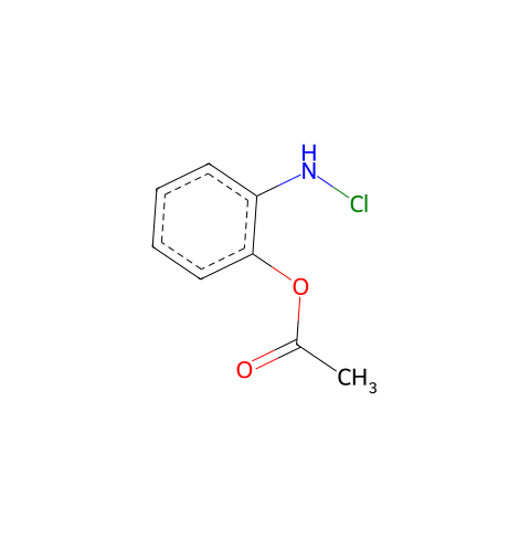 CC(=O)Oc1ccccc1NCl